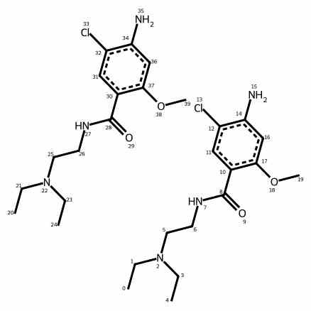 CCN(CC)CCNC(=O)c1cc(Cl)c(N)cc1OC.CCN(CC)CCNC(=O)c1cc(Cl)c(N)cc1OC